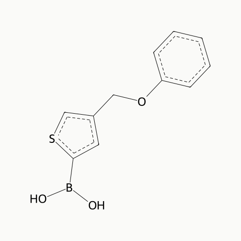 OB(O)c1cc(COc2ccccc2)cs1